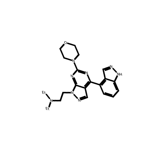 CCN(CC)CCn1ncc2c(-c3cccc4[nH]ncc34)nc(N3CCOCC3)nc21